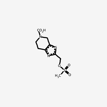 CS(=O)(=O)OCc1nc2c(s1)CN(C(=O)O)CC2